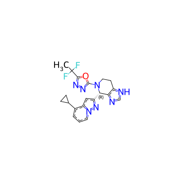 CC(F)(F)c1nnc(N2CCc3[nH]cnc3[C@@H]2c2cc3c(C4CC4)cccn3n2)o1